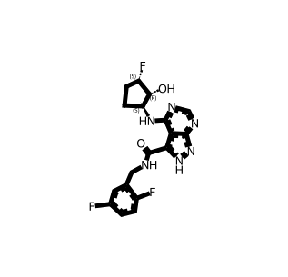 O=C(NCc1cc(F)ccc1F)c1[nH]nc2ncnc(N[C@H]3CC[C@H](F)[C@@H]3O)c12